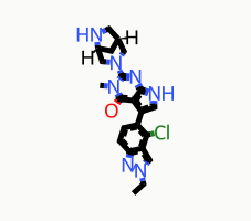 CCn1cc2c(Cl)c(-c3c[nH]c4nc(N5C[C@@H]6CN[C@@H](C6)C5)n(C)c(=O)c34)ccc2n1